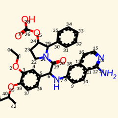 CCOc1cc(C(Nc2ccc3c(N)nccc3c2)C(=O)N2CCC(OC(=O)O)C2c2ccccc2)ccc1OC(C)C